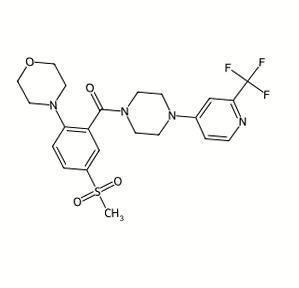 CS(=O)(=O)c1ccc(N2CCOCC2)c(C(=O)N2CCN(c3ccnc(C(F)(F)F)c3)CC2)c1